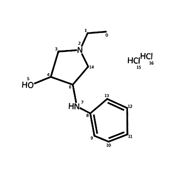 CCN1CC(O)C(Nc2ccccc2)C1.Cl.Cl